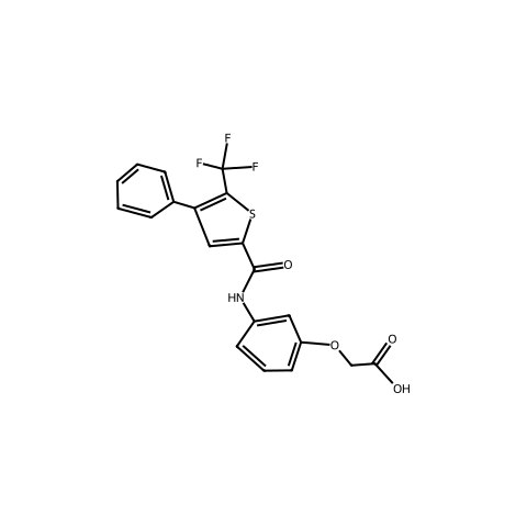 O=C(O)COc1cccc(NC(=O)c2cc(-c3ccccc3)c(C(F)(F)F)s2)c1